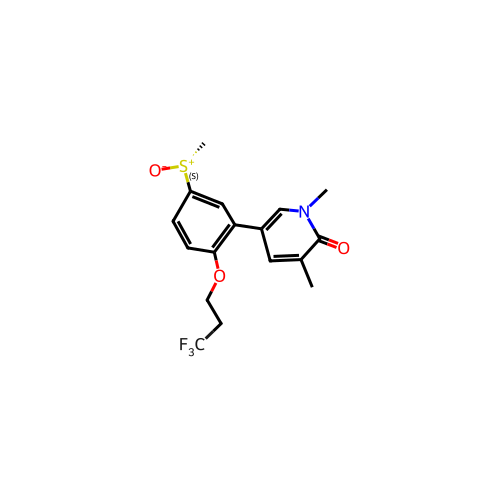 Cc1cc(-c2cc([S@@+](C)[O-])ccc2OCCC(F)(F)F)cn(C)c1=O